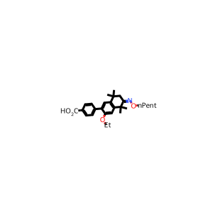 CCCCCON=C1CC(C)(C)c2cc(-c3ccc(C(=O)O)cc3)c(OCC)cc2C1(C)C